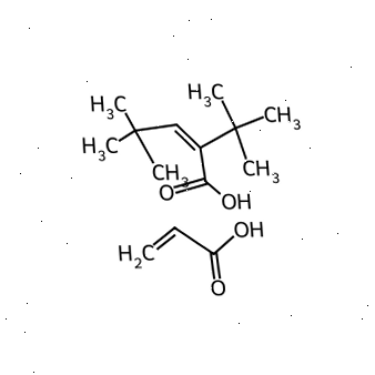 C=CC(=O)O.CC(C)(C)C=C(C(=O)O)C(C)(C)C